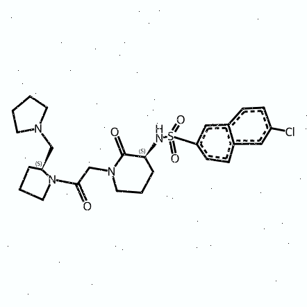 O=C1[C@@H](NS(=O)(=O)c2ccc3cc(Cl)ccc3c2)CCCN1CC(=O)N1CCC[C@H]1CN1CCCC1